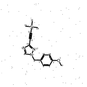 COc1ccc(Cn2cnc(C#C[Si](C)(C)C)n2)cc1